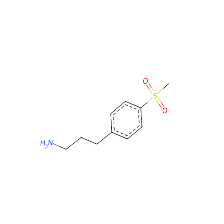 CS(=O)(=O)c1ccc(CCCN)cc1